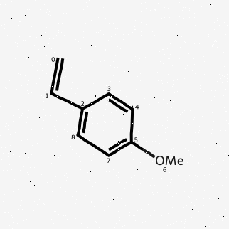 C=Cc1c[c]c(OC)cc1